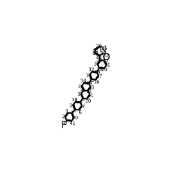 Fc1ccc(-c2ccc(-c3ccc4cc(-c5ccc(-c6ccc7oc8ncccc8c7c6)cc5)ccc4c3)cc2)cc1